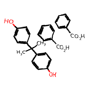 CC(C)(c1ccc(O)cc1)c1ccc(O)cc1.O=C(O)c1ccccc1.O=C(O)c1ccccc1